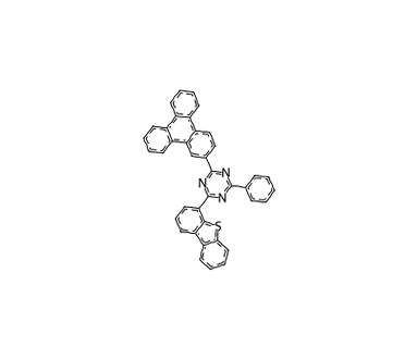 c1ccc(-c2nc(-c3ccc4c5ccccc5c5ccccc5c4c3)nc(-c3cccc4c3sc3ccccc34)n2)cc1